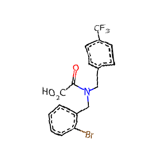 O=C(O)C(=O)N(Cc1ccc(C(F)(F)F)cc1)Cc1ccccc1Br